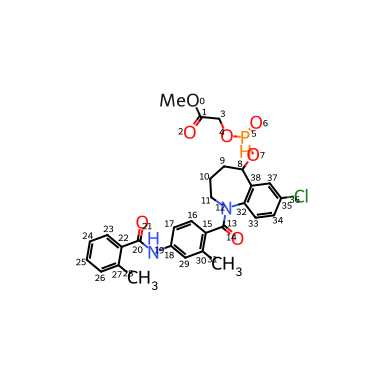 COC(=O)CO[PH](=O)OC1CCCN(C(=O)c2ccc(NC(=O)c3ccccc3C)cc2C)c2ccc(Cl)cc21